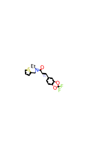 CCN(Cc1cccs1)C(=O)/C=C/c1ccc2c(c1)OC(F)(F)O2